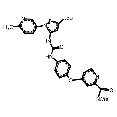 CNC(=O)c1cc(Oc2ccc(NC(=O)Nc3cc(C(C)(C)C)nn3-c3ccc(C)nc3)cc2)ccn1